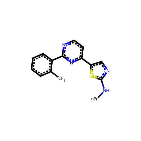 CCCNc1ncc(-c2ccnc(-c3ccccc3C(F)(F)F)n2)s1